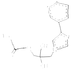 CC(=O)OCC(C)(C)Cn1cnc(-c2cccnc2)c1